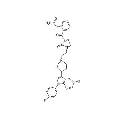 CC(=O)Oc1ccccc1C(=O)N1CCN(CCN2CCC(c3cn(-c4ccc(F)cc4)c4ccc(Cl)cc34)CC2)C1=O